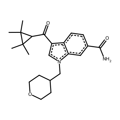 CC1(C)C(C(=O)c2cn(CC3CCOCC3)c3cc(C(N)=O)ccc23)C1(C)C